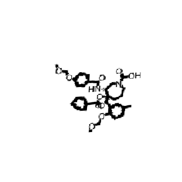 COCOc1ccc(C(=O)N[C@@H]2CN(C(=O)O)CCC[C@]2(OC(=O)c2ccccc2)C(=O)c2cc(C)ccc2OCOC)cc1